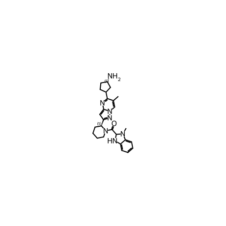 Cc1cn2nc([C@@H]3CCCCN3C(=O)C3Nc4ccccc4N3C)cc2nc1C1CC[C@H](N)C1